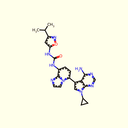 CC(C)c1cc(NC(=O)Nc2ccc(-c3cn(C4CC4)c4ncnc(N)c34)n3ccnc23)on1